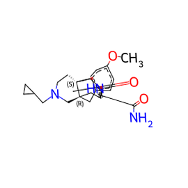 COc1ccc2c(c1)[C@@]13CCN(CC4CC4)C[C@]1(C2)Cc1cc(C(N)=O)c(=O)[nH]c1C3